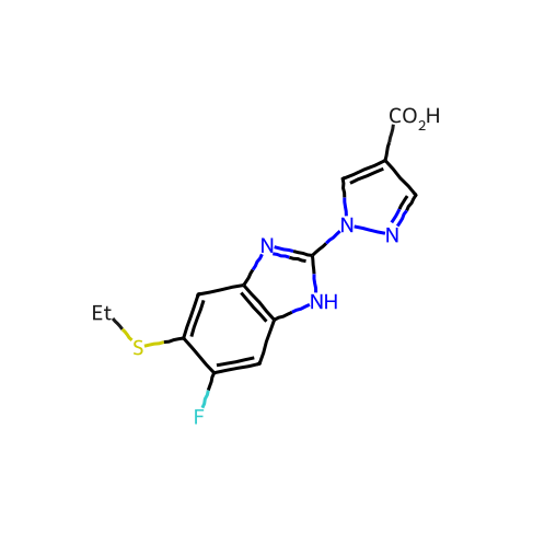 CCSc1cc2nc(-n3cc(C(=O)O)cn3)[nH]c2cc1F